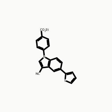 CCOC(=O)c1ccc(-n2cc(C#N)c3cc(-c4cccs4)ccc32)cc1